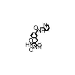 O=C(NCc1ccccn1)c1ccc2c(c1)Cc1c([nH]c(=O)[nH]c1=O)O2